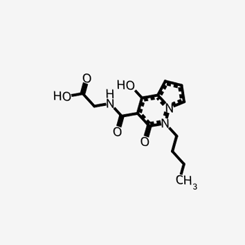 CCCCn1c(=O)c(C(=O)NCC(=O)O)c(O)c2cccn21